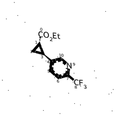 CCOC(=O)[C@H]1C[C@@H]1c1ccc(C(F)(F)F)nc1